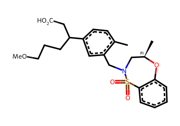 COCCCC(CC(=O)O)c1ccc(C)c(CN2C[C@@H](C)Oc3ccccc3S2(=O)=O)c1